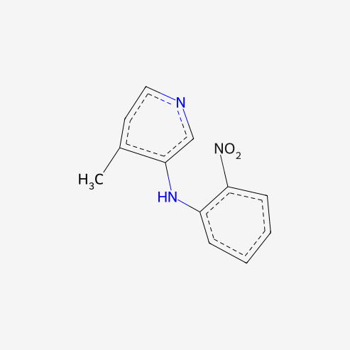 Cc1ccncc1Nc1ccccc1[N+](=O)[O-]